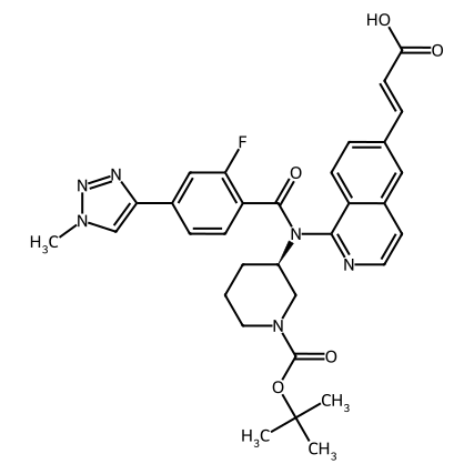 Cn1cc(-c2ccc(C(=O)N(c3nccc4cc(/C=C/C(=O)O)ccc34)[C@@H]3CCCN(C(=O)OC(C)(C)C)C3)c(F)c2)nn1